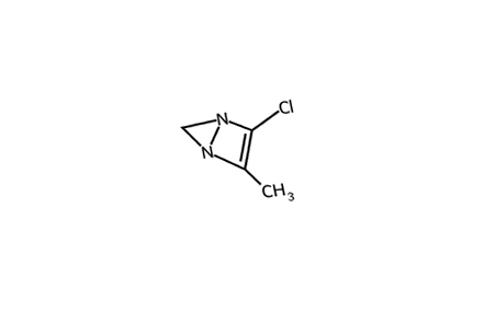 Cc1c(Cl)n2n1C2